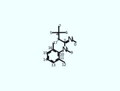 C/N=C(/CC(C)(C)C)N(C)c1c(C)cccc1C